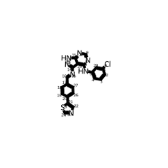 Clc1cccc(Nc2ncnc3[nH]nc(N=Cc4ccc(-c5cncs5)cc4)c23)c1